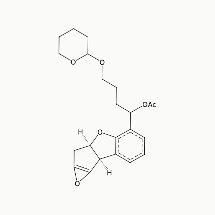 CC(=O)OC(CCCOC1CCCCO1)c1cccc2c1O[C@@H]1CC3=C(O3)[C@H]21